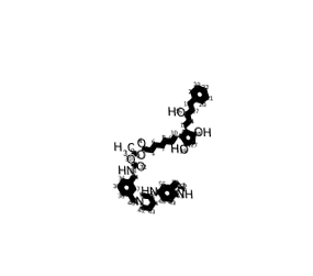 CC(OC(=O)CCCC=CC[C@@H]1[C@@H](CCC(O)CCc2ccccc2)[C@H](O)C[C@@H]1O)OC(=O)NCc1cccc(CN2CCCC(Nc3ccc4[nH]ncc4c3)C2)c1